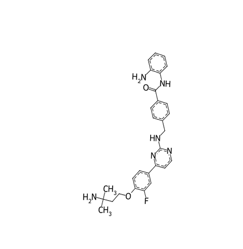 CC(C)(N)CCOc1ccc(-c2ccnc(NCc3ccc(C(=O)Nc4ccccc4N)cc3)n2)cc1F